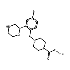 CC(C)(C)OC(=O)N1CCN(Cc2ccc(Br)cc2C2CNCCO2)CC1